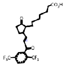 O=C(O)CCCCCCC1C(=O)CCC1/C=C/C(=O)c1cc(C(F)(F)F)ccc1C(F)(F)F